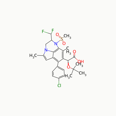 Cc1c([C@H](OC(C)(C)C)C(=O)O)c(-c2ccc(Cl)cc2)c2cc(C)n3c2c1N(S(C)(=O)=O)C(C(F)F)C3